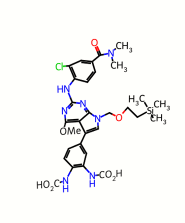 COc1nc(Nc2ccc(C(=O)N(C)C)cc2Cl)nc2c1c(-c1ccc(NC(=O)O)c(NC(=O)O)c1)cn2COCC[Si](C)(C)C